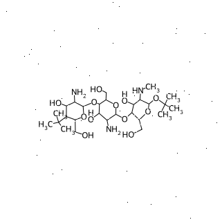 CNC1C(OC(C)(C)C)OC(CO)C(OC2OC(CO)C(OC3OC(CO)C(C(C)(C)C)C(O)C3N)C(O)C2N)C1O